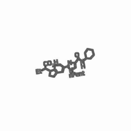 CCCCCn1cc(C(=O)NC2CCCCC2)nc1-c1ccc2c(c1)CCC2C(CC)C(=O)O